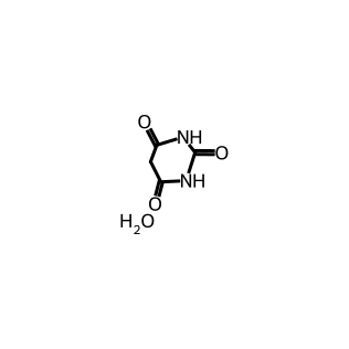 O.O=C1CC(=O)NC(=O)N1